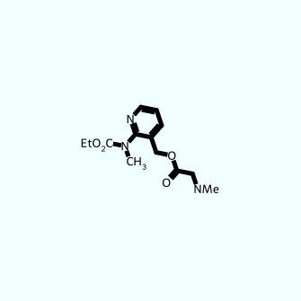 CCOC(=O)N(C)c1ncccc1COC(=O)CNC